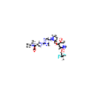 CCN(CC)C(=O)C1CN(c2ncc(N3CC[C@@H](Oc4ccc(OCC(C)(F)F)nc4)C3=O)cn2)C1